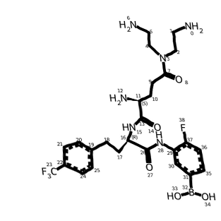 NCCN(CCN)C(=O)CC[C@H](N)C(=O)N[C@H](CCc1ccc(C(F)(F)F)cc1)C(=O)Nc1cc(B(O)O)ccc1F